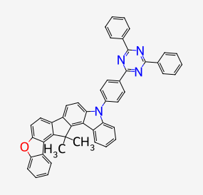 CC1(C)c2c(ccc3oc4ccccc4c23)-c2ccc3c(c21)c1ccccc1n3-c1ccc(-c2nc(-c3ccccc3)nc(-c3ccccc3)n2)cc1